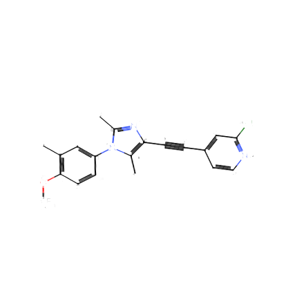 Cc1cc(-n2c(C)nc(C#Cc3ccnc(Cl)c3)c2C)ccc1OC(F)(F)F